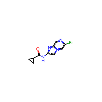 O=C(Nc1cn2cc(Br)ncc2n1)C1CC1